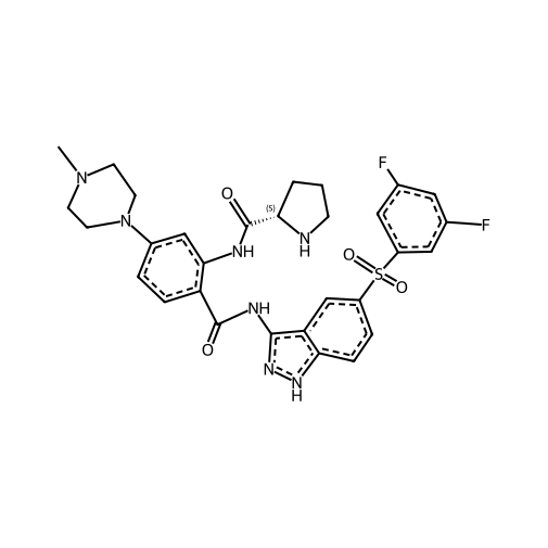 CN1CCN(c2ccc(C(=O)Nc3n[nH]c4ccc(S(=O)(=O)c5cc(F)cc(F)c5)cc34)c(NC(=O)[C@@H]3CCCN3)c2)CC1